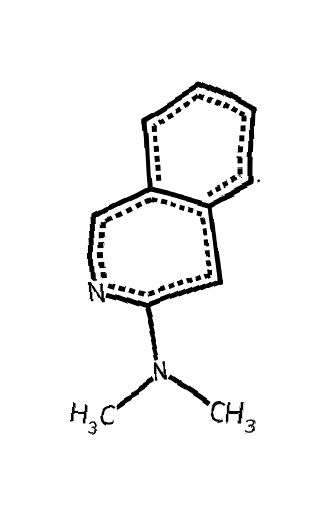 CN(C)c1cc2[c]cccc2cn1